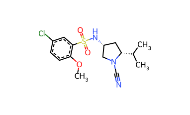 COc1ccc(Cl)cc1S(=O)(=O)N[C@@H]1C[C@H](C(C)C)N(C#N)C1